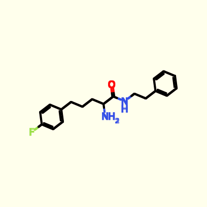 NC(CCCc1ccc(F)cc1)C(=O)NCCc1ccccc1